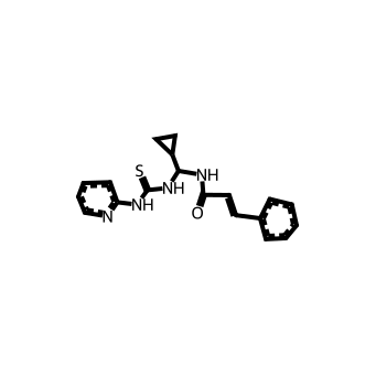 O=C(C=Cc1ccccc1)NC(NC(=S)Nc1ccccn1)C1CC1